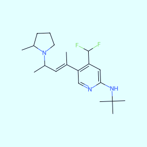 CC(=CC(C)N1CCCC1C)c1cnc(NC(C)(C)C)cc1C(F)F